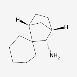 N[C@H]1[C@H]2CC[C@H](C2)C12CCCCC2